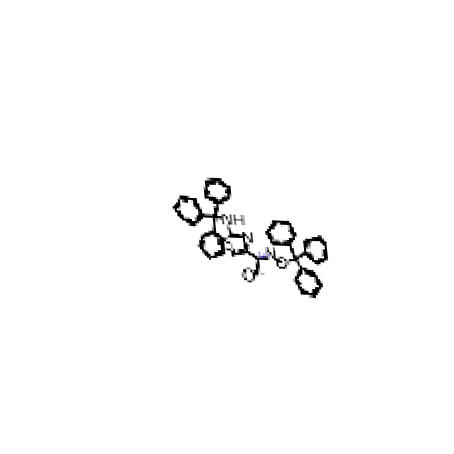 O=[C]/C(=N\OC(c1ccccc1)(c1ccccc1)c1ccccc1)c1csc(NC(c2ccccc2)(c2ccccc2)c2ccccc2)n1